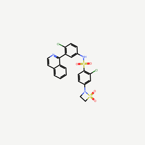 O=S(=O)(Nc1ccc(Cl)c(-c2nccc3ccccc23)c1)c1ccc(N2CCS2(=O)=O)cc1Cl